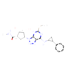 CCCSc1nc(NC2CC2c2ccccc2)c2nnn([C@H]3C[C@@H](C(=O)NC(C)C)[C@H](O)[C@@H]3O)c2n1